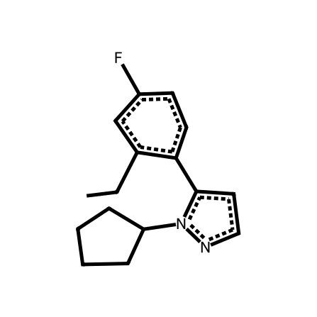 CCc1cc(F)ccc1-c1ccnn1C1CCCC1